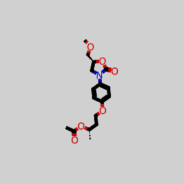 COC[C@@H]1CN(c2ccc(OCC[C@H](C)OC(C)=O)cc2)C(=O)O1